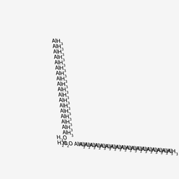 O.O.O.[AlH3].[AlH3].[AlH3].[AlH3].[AlH3].[AlH3].[AlH3].[AlH3].[AlH3].[AlH3].[AlH3].[AlH3].[AlH3].[AlH3].[AlH3].[AlH3].[AlH3].[AlH3].[AlH3].[AlH3].[AlH3].[AlH3].[AlH3].[AlH3].[AlH3].[AlH3].[AlH3].[AlH3].[AlH3].[AlH3].[AlH3].[AlH3].[AlH3].[AlH3].[AlH3].[AlH3].[AlH3]